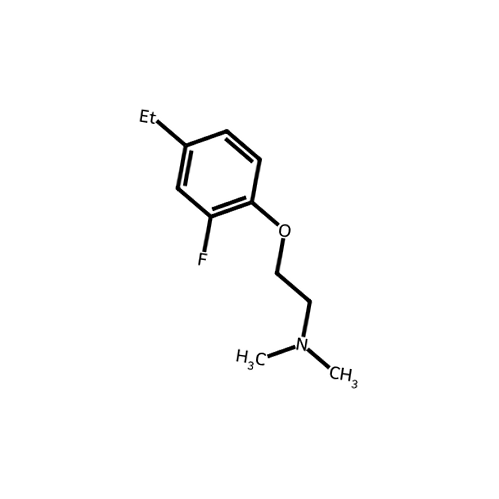 CCc1ccc(OCCN(C)C)c(F)c1